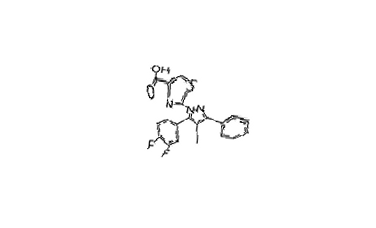 Cc1c(-c2ccccc2)nn(-c2nc(C(=O)O)cs2)c1-c1ccc(F)c(F)c1